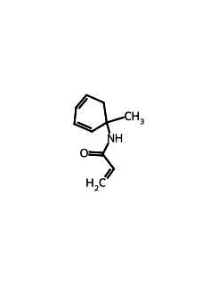 C=CC(=O)NC1(C)C=CC=CC1